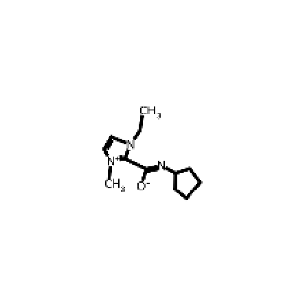 CCn1cc[n+](C)c1/C([O-])=N/C1CCCC1